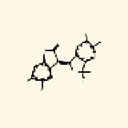 Cc1cc2c(cc1C)/C(=C1\OC(C)(C)c3nc(C)c(C)cc31)C(=O)N2